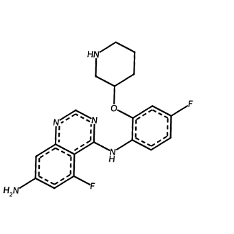 Nc1cc(F)c2c(Nc3ccc(F)cc3OC3CCCNC3)ncnc2c1